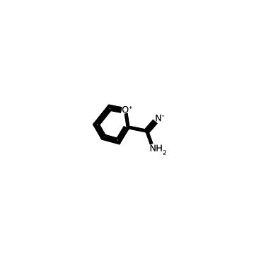 [N-]=C(N)C1=C=C=C=C=[O+]1